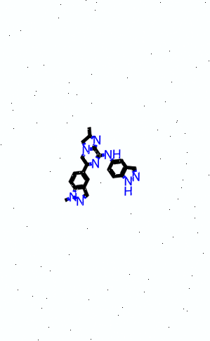 CC1CN2CC(c3ccc4c(cnn4C)c3)N=C(Nc3ccc4[nH]ncc4c3)C2=N1